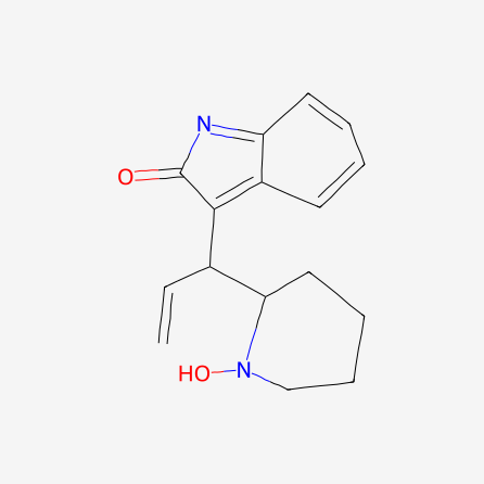 C=CC(C1=c2ccccc2=NC1=O)C1CCCCN1O